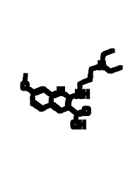 CCN(CC)CCCNc1nc2cc(OC)ccc2cc1C(=O)O